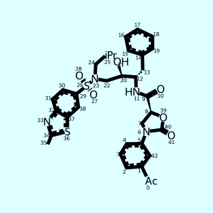 CC(=O)c1cccc(N2C[C@@H](C(=O)N[C@@H](Cc3ccccc3)[C@H](O)CN(CC(C)C)S(=O)(=O)c3ccc4nc(C)sc4c3)OC2=O)c1